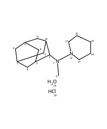 CN(C1C2CC3CC(C2)CC1C3)N1CCCCC1.Cl.O